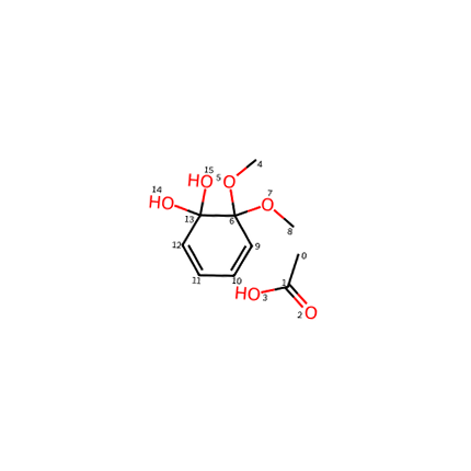 CC(=O)O.COC1(OC)C=CC=CC1(O)O